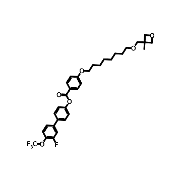 CC1(COCCCCCCCCOc2ccc(C(=O)Oc3ccc(-c4ccc(OC(F)(F)F)c(F)c4)cc3)cc2)COC1